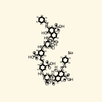 O=S(=O)(O)c1cc(Nc2nc(Cl)nc(Nc3c(S(=O)(=O)O)ccc4c(S(=O)(=O)O)cc(N=Nc5ccccc5)c(O)c34)n2)ccc1C=Cc1ccc(Nc2nc(Cl)nc(Nc3c(S(=O)(=O)O)ccc4c(S(=O)(=O)O)cc(N=Nc5ccccc5)c(O)c34)n2)cc1S(=O)(=O)O.[Na]